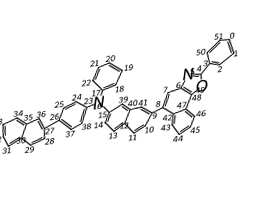 c1ccc(-c2nc3cc(-c4ccc5ccc(N(c6ccccc6)c6ccc(-c7ccc8ccccc8c7)cc6)cc5c4)c4ccccc4c3o2)cc1